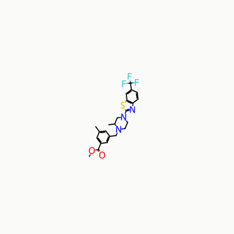 COC(=O)c1cc(C)cc(CN2CCN(c3nc4ccc(C(F)(F)F)cc4s3)CC2C)c1